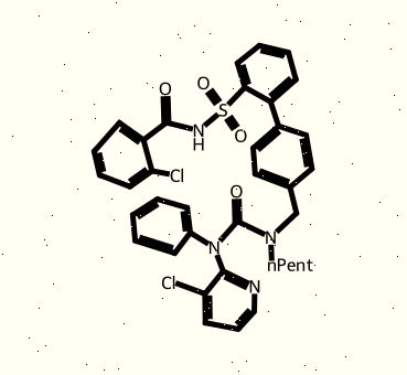 CCCCCN(Cc1ccc(-c2ccccc2S(=O)(=O)NC(=O)c2ccccc2Cl)cc1)C(=O)N(c1ccccc1)c1ncccc1Cl